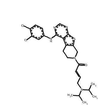 CC(C)N(C/C=C/C(=O)N1CCc2c(sc3ncnc(Nc4ccc(Cl)c(Cl)c4)c23)C1)C(C)C